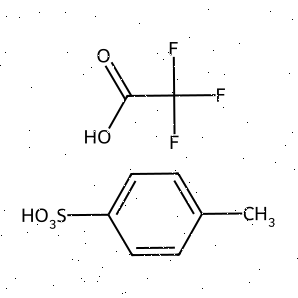 Cc1ccc(S(=O)(=O)O)cc1.O=C(O)C(F)(F)F